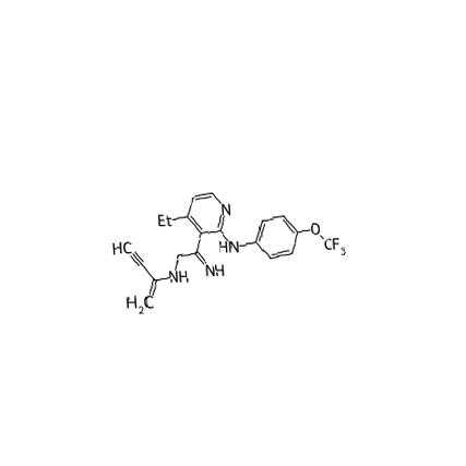 C#CC(=C)NCC(=N)c1c(CC)ccnc1Nc1ccc(OC(F)(F)F)cc1